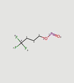 O=POCCCC(F)(F)F